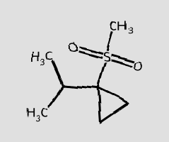 CC(C)C1(S(C)(=O)=O)CC1